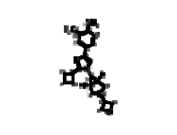 Nc1ncc(-c2cn([C@@H]3[C@@H]4CN(C5COC5)C[C@@H]43)c(C3CCC3)n2)cc1C(F)(F)F